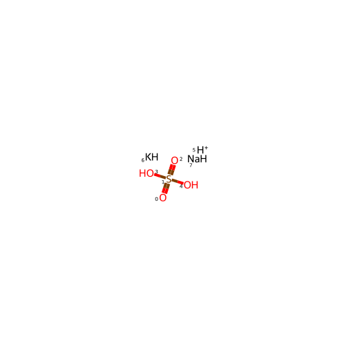 O=S(=O)(O)O.[H+].[KH].[NaH]